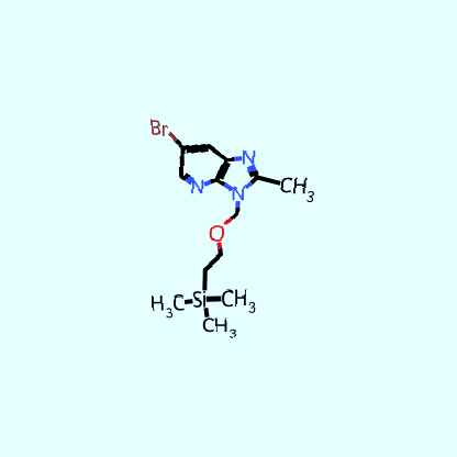 Cc1nc2cc(Br)cnc2n1COCC[Si](C)(C)C